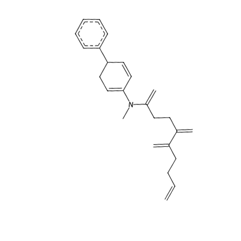 C=CCCC(=C)C(=C)CCC(=C)N(C)C1=CCC(c2ccccc2)C=C1